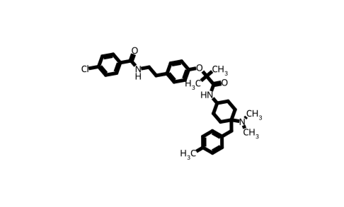 Cc1ccc(CC2(N(C)C)CCC(NC(=O)C(C)(C)Oc3ccc(CCNC(=O)c4ccc(Cl)cc4)cc3)CC2)cc1